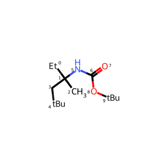 CCC(C)(CC(C)(C)C)NC(=O)OC(C)(C)C